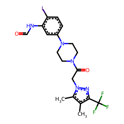 Cc1c(C(F)(F)F)nn(CC(=O)N2CCN(c3ccc(I)c(NC=O)c3)CC2)c1C